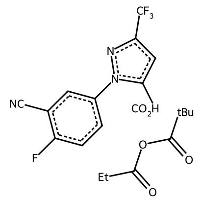 CCC(=O)OC(=O)C(C)(C)C.N#Cc1cc(-n2nc(C(F)(F)F)cc2C(=O)O)ccc1F